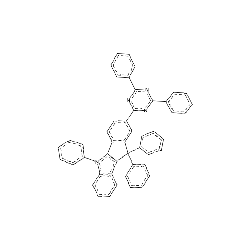 c1ccc(-c2nc(-c3ccccc3)nc(-c3ccc4c(c3)C(c3ccccc3)(c3ccccc3)c3c-4n(-c4ccccc4)c4ccccc34)n2)cc1